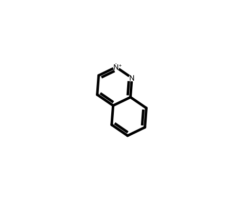 C1=[N+]N=c2ccccc2=C1